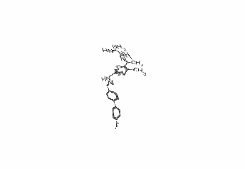 CC(=NNC(=N)N)c1sc(NN=Cc2ccc(-c3ccc(F)cc3)cc2)nc1C